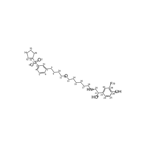 O=S(=O)(c1cccc(CCCCOCCCCCCNCC(O)c2ccc(O)c(F)c2)c1)C1CCCC1